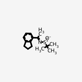 CC(=N[S@+]([O-])C(C)(C)C)c1cccc2c1CCC2